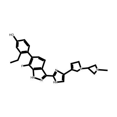 CCc1cc(O)ccc1-c1ccc2c(-c3nc(C4=CCN(C5CN(C)C5)C4)c[nH]3)n[nH]c2c1F